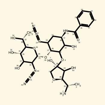 C[C@H](N)[C@H]1OC[C@@](O)(OC2C(O)[C@H](NC(=O)c3ccccc3)CC(N=[N+]=[N-])[C@H]2O[C@H]2OC([C@@H](C)O)[C@@H](O)C(O)C2N=[N+]=[N-])C1O